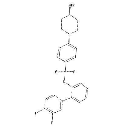 CCC[C@H]1CC[C@H](c2ccc(C(F)(F)Oc3ccccc3-c3ccc(F)c(F)c3)cc2)CC1